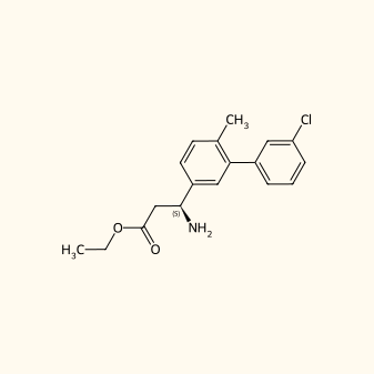 CCOC(=O)C[C@H](N)c1ccc(C)c(-c2cccc(Cl)c2)c1